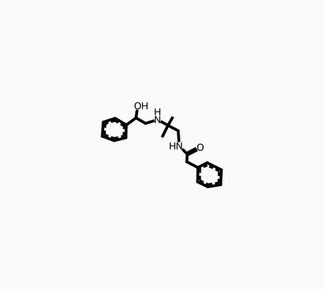 CC(C)(CNC(=O)Cc1ccccc1)NCC(O)c1ccccc1